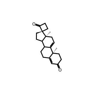 C[C@]12CCC(=O)C=C1CCC1C2=CC[C@@]2(C)C1CC[C@@]21CCC1=O